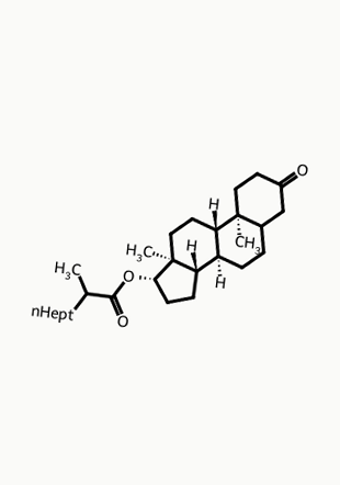 CCCCCCCC(C)C(=O)O[C@H]1CC[C@H]2[C@@H]3CCC4CC(=O)CC[C@]4(C)[C@H]3CC[C@]12C